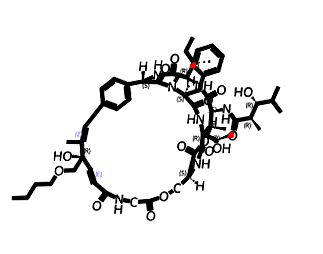 CCCCOC[C@@]1(O)/C=C/C(=O)NCC(=O)OC[C@@H]2NC(=O)[C@@H]([C@@H](C)O)NC(=O)[C@H](Cc3ccccc3)N(C)C(=O)[C@@H](NC(=O)[C@@H]([C@@H](C)CC)NC(=O)[C@@H](NC(=O)[C@H](C)[C@H](O)C(C)C)[C@@H](C)OC2=O)c2ccc(cc2)/C=C\1C